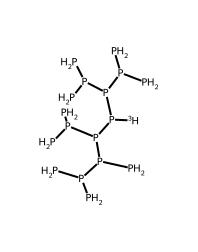 [3H]P(P(P(P)P)P(P)P)P(P(P)P)P(P)P(P)P